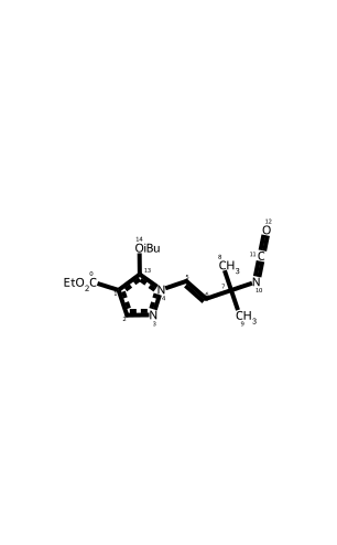 CCOC(=O)c1cnn(/C=C/C(C)(C)N=C=O)c1OCC(C)C